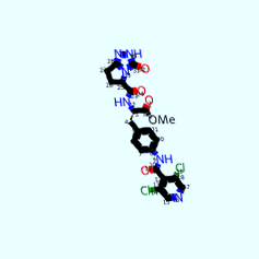 COC(=O)[C@H](Cc1ccc(NC(=O)c2c(Cl)cncc2Cl)cc1)NC(=O)C1CCc2n[nH]c(=O)n21